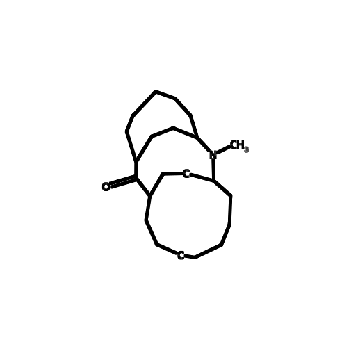 CN1C2CCCCCCCC(CC2)C(=O)C2CCCCCC1CC2